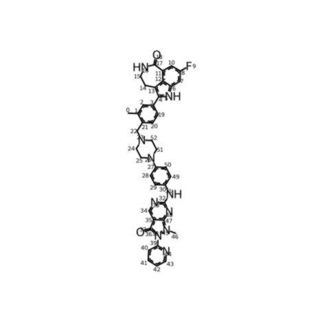 Cc1cc(-c2[nH]c3cc(F)cc4c3c2CCNC4=O)ccc1CN1CCN(c2ccc(Nc3ncc4c(=O)n(-c5ccccn5)n(C)c4n3)cc2)CC1